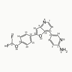 Nc1ccc(-c2ccnc3cc(-c4ccc(OC(F)F)cc4)oc23)cn1